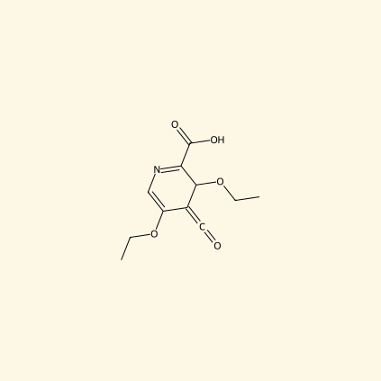 CCOC1=CN=C(C(=O)O)C(OCC)C1=C=O